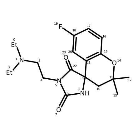 CCN(CC)CCN1C(=O)NC2(CC(C)(C)Oc3ccc(F)cc32)C1=O